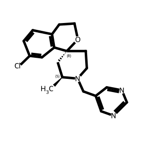 C[C@H]1C[C@@]2(CCN1Cc1cncnc1)OCCc1ccc(Cl)cc12